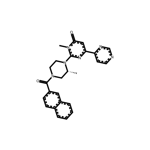 C[C@@H]1CN(C(=O)c2ccc3ccccc3c2)CCN1c1nc(-c2ccncn2)cc(=O)n1C